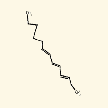 CCC=CC=CC=CCCCCC